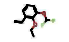 C=[C]c1cccc(OC(F)F)c1OCC